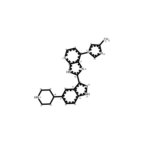 Cc1cn(-c2ccnc3[nH]c(-c4n[nH]c5ccc(C6CCNCC6)cc45)nc23)cn1